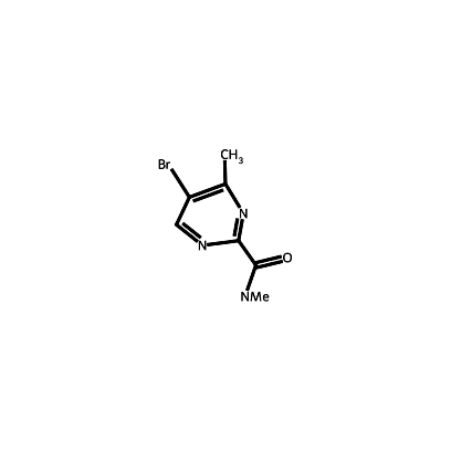 CNC(=O)c1ncc(Br)c(C)n1